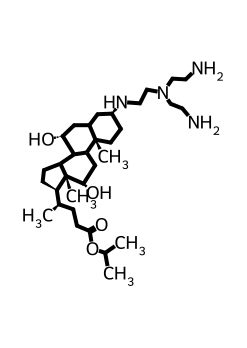 CC(C)OC(=O)CC[C@@H](C)[C@H]1CCC2C3C(C[C@H](O)[C@@]21C)[C@@]1(C)CC[C@H](NCCN(CCN)CCN)CC1C[C@H]3O